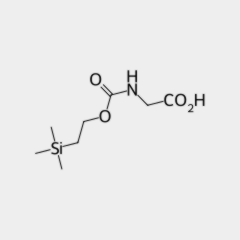 C[Si](C)(C)CCOC(=O)NCC(=O)O